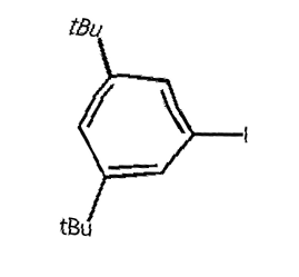 CC(C)(C)c1cc(I)cc(C(C)(C)C)c1